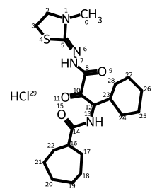 CN1CCSC1=NNC(=O)C(=O)C(NC(=O)C1CCCCCC1)C1CCCCC1.Cl